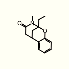 CCC12CC(CC(=O)N1C)c1ccccc1O2